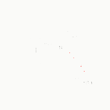 CC(C)(C)c1ccc(-c2ccc(N(c3ccc4c(c3)-c3ccccc3C4(c3ccccc3)c3ccccc3)c3ccc4ccccc4c3-c3ccc(-c4ccccc4)cc3)cc2)cc1